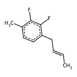 C/C=C/Cc1ccc(C)c(F)c1F